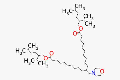 CC(C)CCC(COC(=O)CCCCCCCCCC(CCCCCCCCCC(=O)OCC(CCC(C)C)C(C)C)CN1CCOCC1)C(C)C